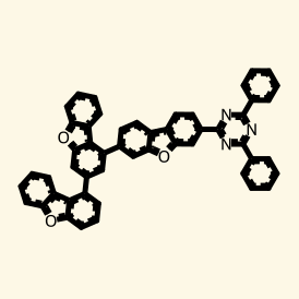 c1ccc(-c2nc(-c3ccccc3)nc(-c3ccc4c(c3)oc3cc(-c5cc(-c6cccc7oc8ccccc8c67)cc6oc7ccccc7c56)ccc34)n2)cc1